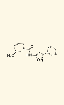 Cc1cccc(C(=O)Nc2cc(-c3ccccc3)no2)c1